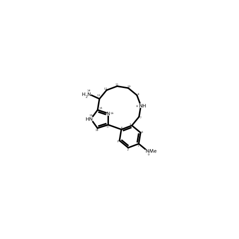 CNc1ccc2c(c1)CNCCCCC(N)c1nc-2c[nH]1